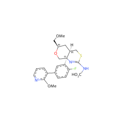 COC[C@H]1C[C@H]2CSC(NC(=O)O)=N[C@@]2(c2cc(-c3cccnc3OC)ccc2F)CO1